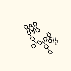 CC1(C)c2ccccc2-c2ccc(N(c3ccc(-c4ccccc4)cc3)c3ccc(N(c4ccccc4)c4ccc(-c5ccc6c(c5)C5(c7ccccc7-6)c6ccccc6C6(c7ccccc7-c7ccccc76)c6ccccc65)cc4)cc3)cc21